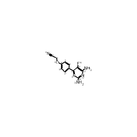 N#CCOc1ccc(-c2nc(N)nc(N)c2F)cc1